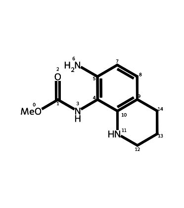 COC(=O)Nc1c(N)ccc2c1NCCC2